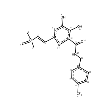 CP(C)(=O)/C=C/c1nc(O)c(O)c(C(=O)NCc2ccc(C(F)(F)F)cc2)n1